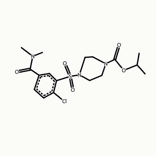 CC(C)OC(=O)N1CCN(S(=O)(=O)c2cc(C(=O)N(C)C)ccc2Cl)CC1